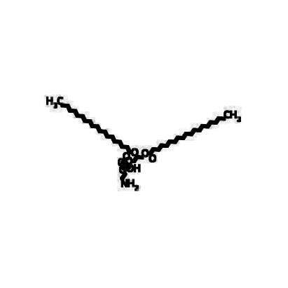 CCCCCCCCCCCCCCCCCCCC(=O)OCC(COP(=O)(O)OCCN)OC(=O)CCCCCCCCCCCCCCCCCCC